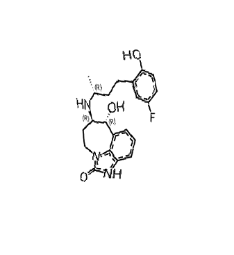 C[C@H](CCc1cc(F)ccc1O)N[C@@H]1CCn2c(=O)[nH]c3cccc(c32)[C@H]1O